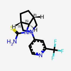 NC(=S)N[C@@H]1[C@@H]2CC[C@H]1CN(c1ccnc(C(F)(F)F)c1)C2